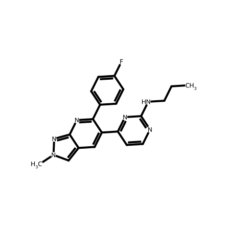 CCCNc1nccc(-c2cc3cn(C)nc3nc2-c2ccc(F)cc2)n1